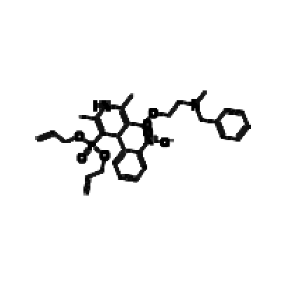 C=CCOP(=O)(OCC=C)C1=C(C)NC(C)=C(C(=O)OCCN(C)Cc2ccccc2)C1c1ccccc1[N+](=O)[O-]